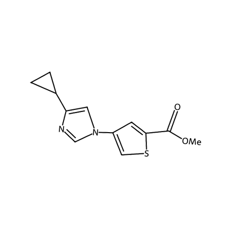 COC(=O)c1cc(-n2cnc(C3CC3)c2)cs1